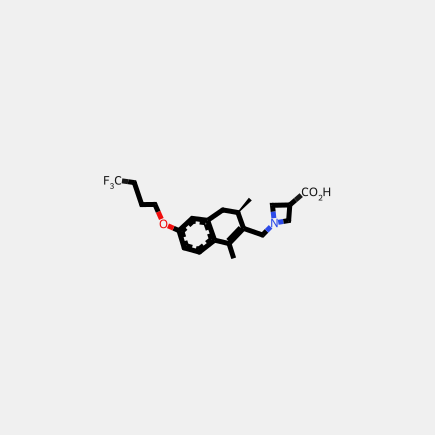 CC1=C(CN2CC(C(=O)O)C2)[C@H](C)Cc2cc(OCCCC(F)(F)F)ccc21